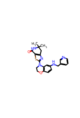 CC1(C)Cc2nc(N3CCOc4ccc(NCc5cccnc5)cc43)sc2C(=O)N1